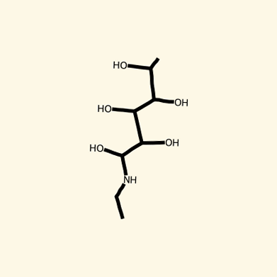 CCNC(O)C(O)C(O)C(O)C(C)O